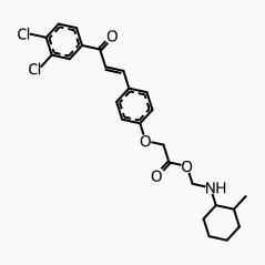 CC1CCCCC1NCOC(=O)COc1ccc(/C=C/C(=O)c2ccc(Cl)c(Cl)c2)cc1